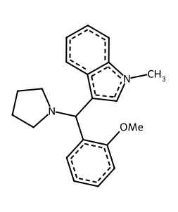 COc1ccccc1C(c1cn(C)c2ccccc12)N1CCCC1